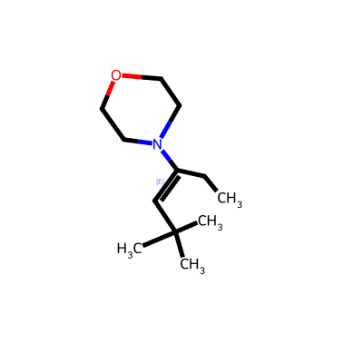 CC/C(=C\C(C)(C)C)N1CCOCC1